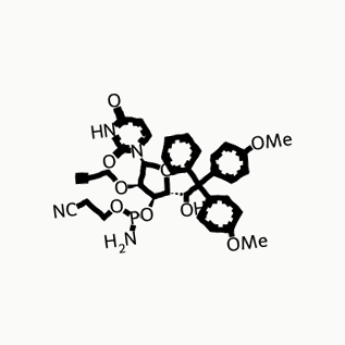 C#CCO[C@@H]1[C@H](OP(N)OCCC#N)[C@@H](C(O)C(c2ccccc2)(c2ccc(OC)cc2)c2ccc(OC)cc2)O[C@H]1n1ccc(=O)[nH]c1=O